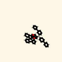 c1ccc(-c2ccc(N(c3cccc(-c4ccccc4)c3)c3cccc(-c4cccc5c4C4(c6ccccc6-c6ccccc64)c4ccccc4-5)c3)cc2)cc1